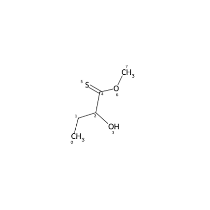 CCC(O)C(=S)OC